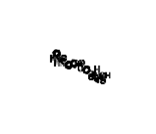 O=C(C[C@H]1CC[C@H](OC(=O)N2CCc3cc(NC(=O)Nc4ccccc4F)ccc3C2)CC1)NC1(C(=O)O)CC1